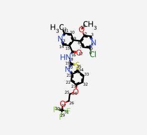 COc1cnc(Cl)cc1-c1cc(C)ncc1C(=O)Nc1nc2cc(OCCOC(F)(F)F)ccc2s1